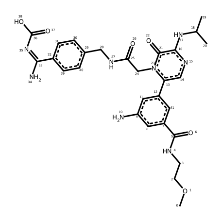 COCCNC(=O)c1cc(N)cc(-c2cnc(NC(C)C)c(=O)n2CC(=O)NCc2ccc(/C(N)=N\C(=O)O)cc2)c1